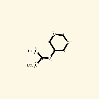 CCOC(=O)C(OC1COCOC1)C(=O)O